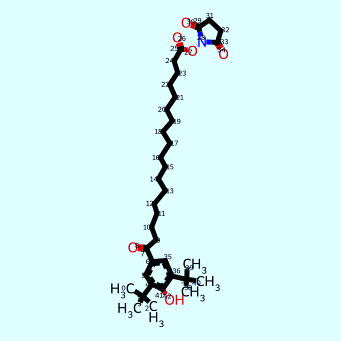 CC(C)(C)c1cc(C(=O)CCCCCCCCCCCCCCCCC(=O)ON2C(=O)CCC2=O)cc(C(C)(C)C)c1O